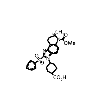 COC(=O)N1c2ccc3c(nc(S(=O)(=O)c4ccccc4)n3C3CCC(C(=O)O)CC3)c2CC[C@@H]1C